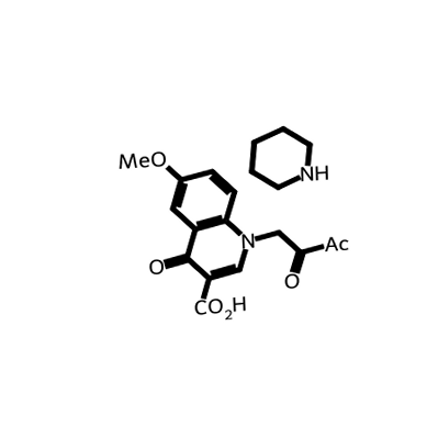 C1CCNCC1.COc1ccc2c(c1)c(=O)c(C(=O)O)cn2CC(=O)C(C)=O